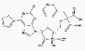 C#C[C@@]1(O)[C@@H](COC(Cc2ccccc2)(C(=O)O)C(=O)O)O[C@@H](n2cnc3c(-c4cccs4)nc(Cl)nc32)[C@@H]1O